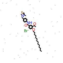 CCCCCCCCCCCCCCOc1ccc(C(=O)Nc2ccc(C[n+]3cscc3C)cc2)cc1C(C)=O.[Br-]